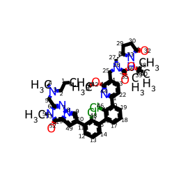 CCCN(C)Cc1nn2cc(-c3cccc(-c4cccc(-c5ccc(CN(C[C@@H]6CCC(=O)N6)C(=O)OC(C)(C)C)c(OC)n5)c4Cl)c3Cl)cc2c(=O)n1C